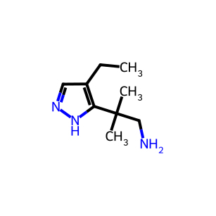 CCc1cn[nH]c1C(C)(C)CN